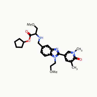 COCCn1c(-c2cc(C)c(=O)n(C)c2)nc2cc(CNC(COC)C(=O)OC3CCCC3)ccc21